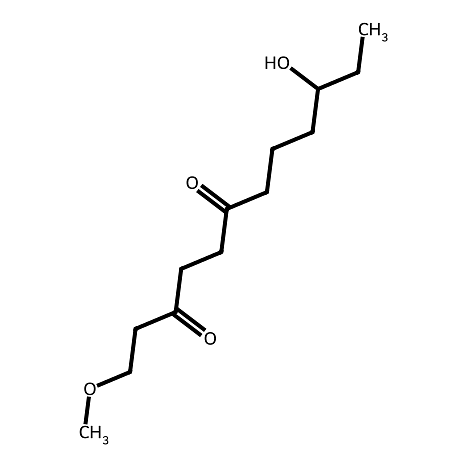 CCC(O)CCCC(=O)CCC(=O)CCOC